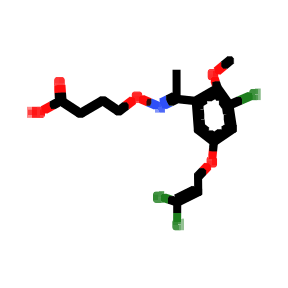 COc1c(Cl)cc(OCC=C(Cl)Cl)cc1C(C)=NOCCCC(=O)O